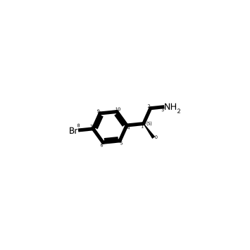 C[C@H](CN)c1ccc(Br)cc1